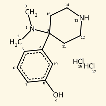 CN(C)C1(c2cccc(O)c2)CCNCC1.Cl.Cl